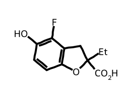 CCC1(C(=O)O)Cc2c(ccc(O)c2F)O1